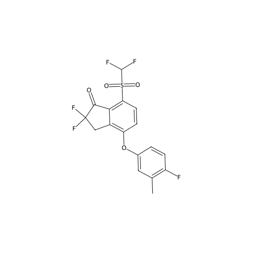 Cc1cc(Oc2ccc(S(=O)(=O)C(F)F)c3c2CC(F)(F)C3=O)ccc1F